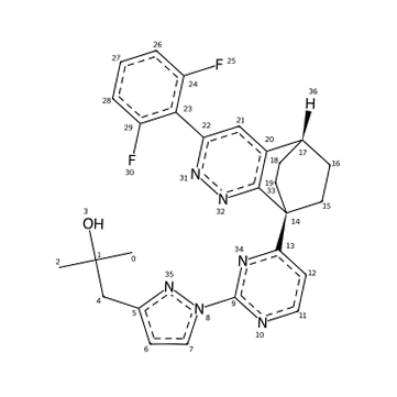 CC(C)(O)Cc1ccn(-c2nccc([C@]34CC[C@H](CC3)c3cc(-c5c(F)cccc5F)nnc34)n2)n1